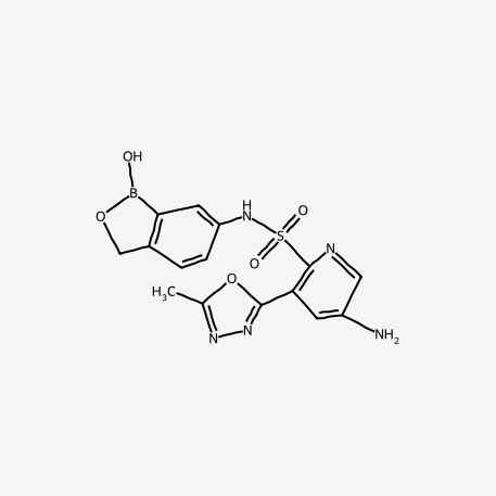 Cc1nnc(-c2cc(N)cnc2S(=O)(=O)Nc2ccc3c(c2)B(O)OC3)o1